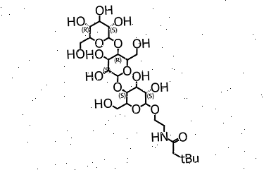 CC(C)(C)CC(=O)NCCOC1OC(CO)[C@@H](OC2OC(CO)[C@H](OC3OC(CO)[C@H](O)C(O)[C@@H]3O)C(O)[C@@H]2O)C(O)[C@@H]1O